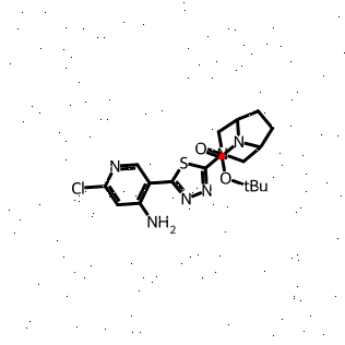 CC(C)(C)OC(=O)N1C2CCC1CN(c1nnc(-c3cnc(Cl)cc3N)s1)C2